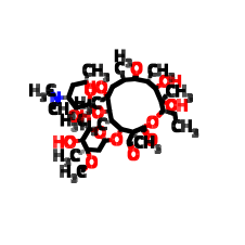 CC[C@H]1OC(=O)[C@@](C)(C=O)[C@@H](OC2C[C@@](C)(OC)[C@@H](O)[C@H](C)O2)[C@H](C)[C@@H](OC2O[C@@H](C)C[C@@H](N(C)C)[C@@H]2O)[C@](C)(O)C[C@@H](C)C(=O)[C@H](C)[C@@H](O)[C@]1(C)O